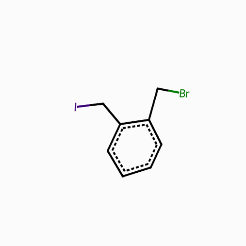 BrCc1ccccc1CI